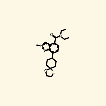 CCN(CC)C(=O)c1ccc(C2CCC3(CC2)OCCO3)c2nn(C)cc12